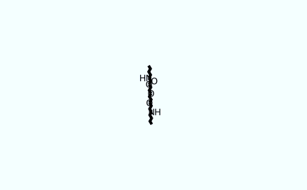 CCCCNCCOCCOCCOC(=O)NCCCC